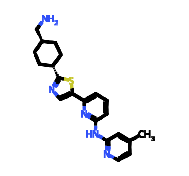 Cc1ccnc(Nc2cccc(-c3cnc([C@H]4CC[C@H](CN)CC4)s3)n2)c1